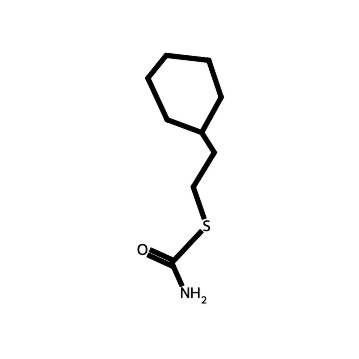 NC(=O)SCCC1CCCCC1